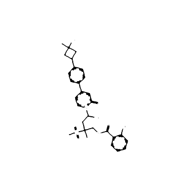 CC1(O)CC(c2ccc(-c3ccn(C(O)CC(C)(CNC(=O)c4ccccc4O)S(C)(=O)=O)c(=O)c3)cc2)C1